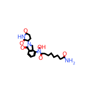 NC(=O)CCCCCCC(=O)N(O)c1cccc2c1CN(C1CCC(=O)NC1=O)C2=O